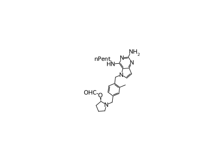 CCCCCNc1nc(N)nc2ccn(Cc3ccc(CN4CCC[C@H]4OC=O)cc3C)c12